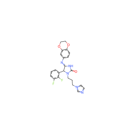 O=C1NC(=Nc2ccc3c(c2)OCCO3)C(c2cccc(F)c2F)N1CCCn1ccnc1